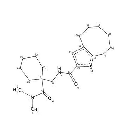 CN(C)C(=O)C1(CNC(=O)c2cc3c(s2)CCCCCC3)CCCCC1